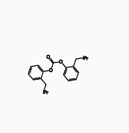 CC(C)Cc1ccccc1OC(=O)Oc1ccccc1CC(C)C